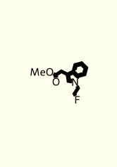 COC(=O)Cc1cn(CCF)c2ccccc12